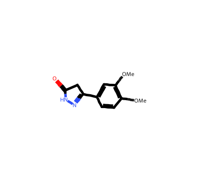 COc1ccc(C2=NNC(=O)C2)cc1OC